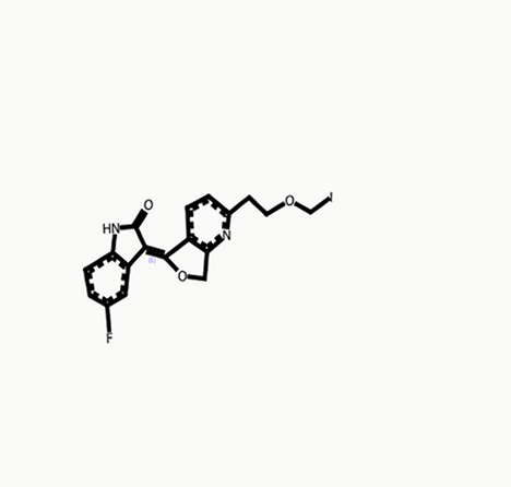 O=C1Nc2ccc(F)cc2/C1=C1\OCc2nc(CCOCI)ccc21